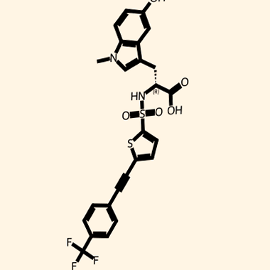 Cn1cc(C[C@@H](NS(=O)(=O)c2ccc(C#Cc3ccc(C(F)(F)F)cc3)s2)C(=O)O)c2cc(O)ccc21